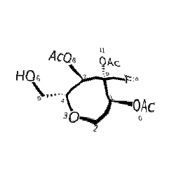 CC(=O)O[C@H]1CO[C@H](CO)[C@@H](OC(C)=O)[C@]1(F)OC(C)=O